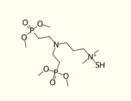 COP(=O)(CCN(CCC[N+](C)(C)S)CCP(=O)(OC)OC)OC